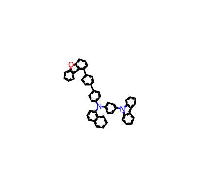 c1ccc2c(N(c3ccc(-c4ccc(-c5cccc6oc7ccccc7c56)cc4)cc3)c3ccc(-n4c5ccccc5c5ccccc54)cc3)cccc2c1